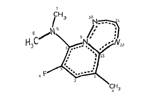 Cc1cc(F)c(N(C)C)n2ncnc12